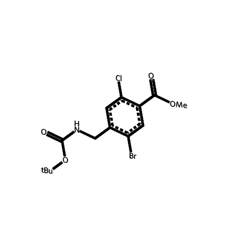 COC(=O)c1cc(Br)c(CNC(=O)OC(C)(C)C)cc1Cl